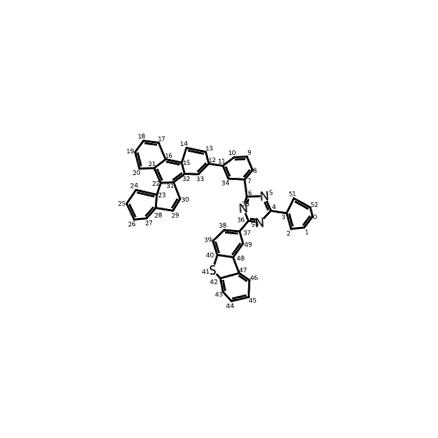 c1ccc(-c2nc(-c3cccc(-c4ccc5c6ccccc6c6c7ccccc7ccc6c5c4)c3)nc(-c3ccc4sc5ccccc5c4c3)n2)cc1